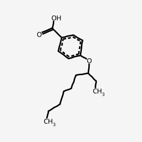 CCCCCCC(CC)Oc1ccc(C(=O)O)cc1